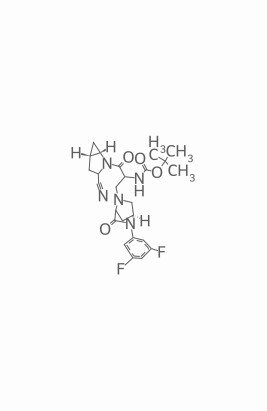 CC(C)(C)OC(=O)NC(CN1C[C@@H]2CC1C(=O)N2c1cc(F)cc(F)c1)C(=O)N1C(C#N)C[C@@H]2C[C@@H]21